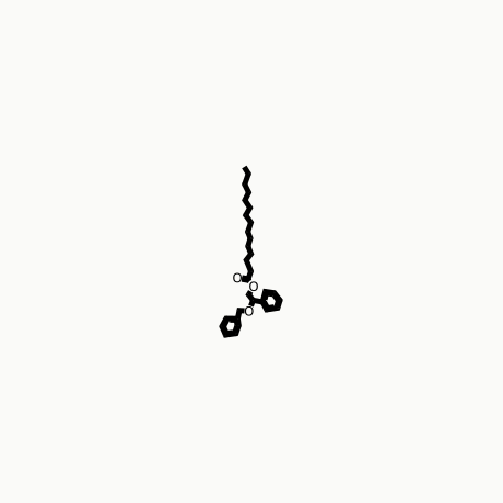 CCCCCCCCCCCCCCC(=O)OCC(OCc1ccccc1)c1ccccc1